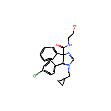 O=C(NCCO)C1(c2ccccc2)N=CN(CC2CC2)C1c1ccc(Cl)cc1